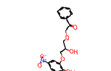 O=C(COCC(O)COc1cc([N+](=O)[O-])ccc1O)c1ccccc1